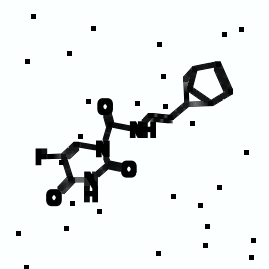 O=C(N/C=C/C1CC2C=CC1C2)n1cc(F)c(=O)[nH]c1=O